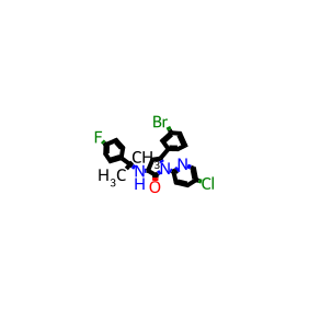 CC(C)(NC1CC(c2cccc(Br)c2)N(c2ccc(Cl)cn2)C1=O)c1ccc(F)cc1